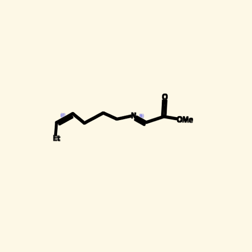 CC/C=C\CCC/N=C/C(=O)OC